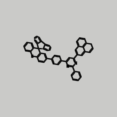 C1=Cc2cc(-c3cc(-c4ccc(-c5ccc6c(c5)C5(c7ccccc7S6)c6ccccc6-c6ccccc65)cc4)nc(-c4ccccc4)n3)cc3cccc(c23)C1